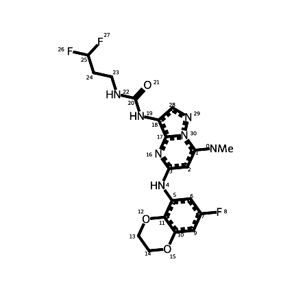 CNc1cc(Nc2cc(F)cc3c2OCCO3)nc2c(NC(=O)NCCC(F)F)cnn12